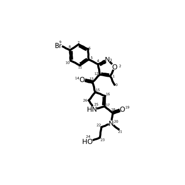 Cc1onc(-c2ccc(Br)cc2)c1C(=O)C1C=C(C(=O)N(C)CCO)NC1